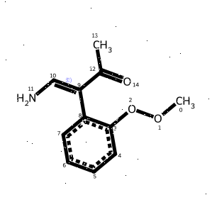 COOc1ccccc1/C(=C\N)C(C)=O